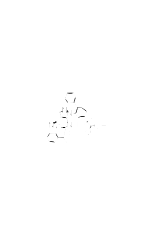 CC(OC(=O)Nc1c(C#N)cnn1-c1cc(C(C)(C)C(=O)O)ccc1-c1ccccc1)c1ccccc1